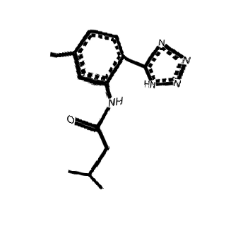 Cc1ccc(-c2nnn[nH]2)c(NC(=O)CC(C)C)c1